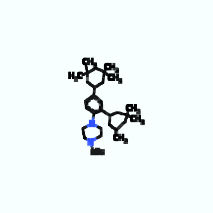 C=C1CC(c2cc(C3CC(C)(C)CC(C)(C)C3)ccc2N2CCN(CCCC)CC2)CC(C)(C)C1